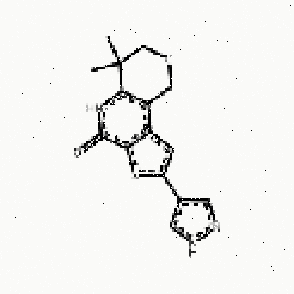 CC1(C)COCc2c1[nH]c(=O)c1sc(-c3cn[nH]c3)cc21